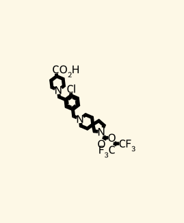 O=C(O)C1CCN(Cc2cc(CN3CCC4(CC3)CCN(C(=O)OC(C(F)(F)F)C(F)(F)F)C4)ccc2Cl)CC1